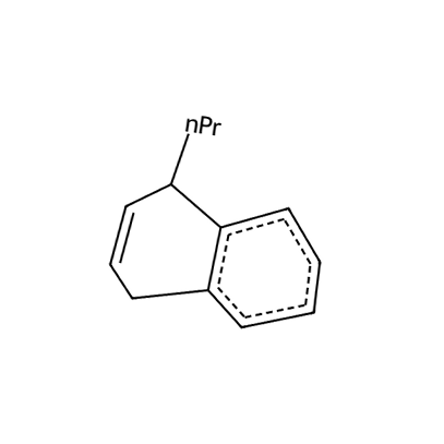 CCCC1C=CCc2ccccc21